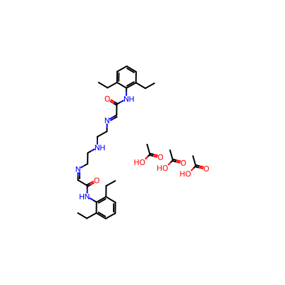 CC(=O)O.CC(=O)O.CC(=O)O.CCc1cccc(CC)c1NC(=O)/C=N\CCNCC/N=C/C(=O)Nc1c(CC)cccc1CC